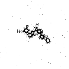 Oc1cc(F)cc(-c2nccc3[nH]c(-c4n[nH]c5cnc(-c6cncc(OC7CCCCC7)c6)cc45)cc23)c1